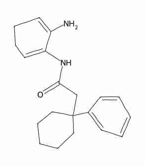 NC1=CCCC=C1NC(=O)CC1(c2ccccc2)CCCCC1